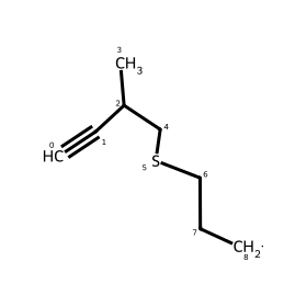 C#CC(C)CSCC[CH2]